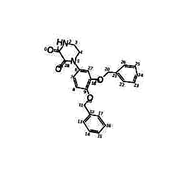 O=C1NCCN(c2ccc(OCc3ccccc3)c(OCc3ccccc3)c2)C1=O